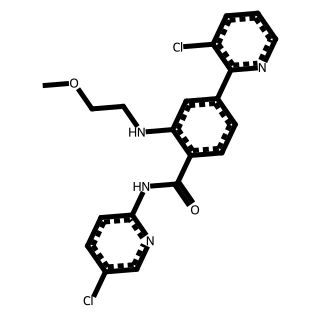 COCCNc1cc(-c2ncccc2Cl)ccc1C(=O)Nc1ccc(Cl)cn1